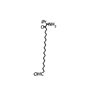 CC(C)[C@H](N)C(=O)CCCCCCCCCCCCCCCCC[C]=O